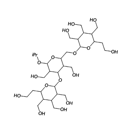 CC(C)OC1OC(COC2OC(CCO)C(CO)C(CO)C2CO)C(CO)C(OC2OC(CCO)C(CO)C(CO)C2CO)C1CO